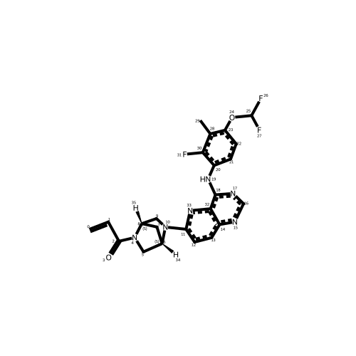 C=CC(=O)N1C[C@@H]2C[C@H]1CN2c1ccc2ncnc(Nc3ccc(OC(F)F)c(C)c3F)c2n1